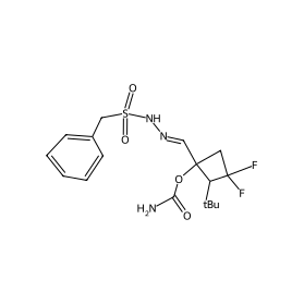 CC(C)(C)C1C(F)(F)CC1(C=NNS(=O)(=O)Cc1ccccc1)OC(N)=O